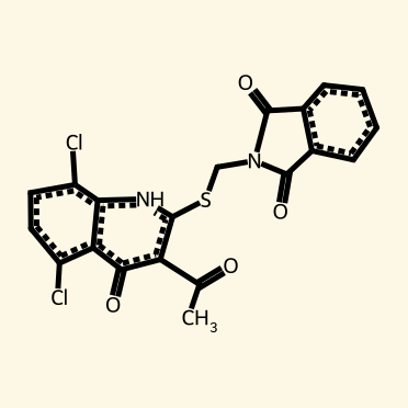 CC(=O)c1c(SCN2C(=O)c3ccccc3C2=O)[nH]c2c(Cl)ccc(Cl)c2c1=O